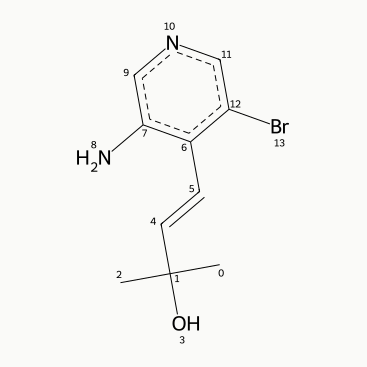 CC(C)(O)/C=C/c1c(N)cncc1Br